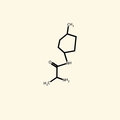 CC1CCC(NC(=O)C(C)N)CC1